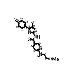 COCCN(C)c1ccc(C(=O)Nc2nc(-c3ccc(C)cc3)c(C)s2)cn1